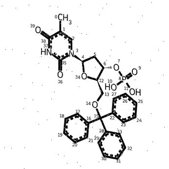 Cc1cn([C@H]2C[C@H](OP(=O)(O)O)[C@@H](COC(c3ccccc3)(c3ccccc3)c3ccccc3)O2)c(=O)[nH]c1=O